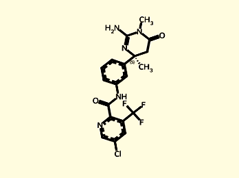 CN1C(=O)C[C@@](C)(c2cccc(NC(=O)c3ncc(Cl)cc3C(F)(F)F)c2)N=C1N